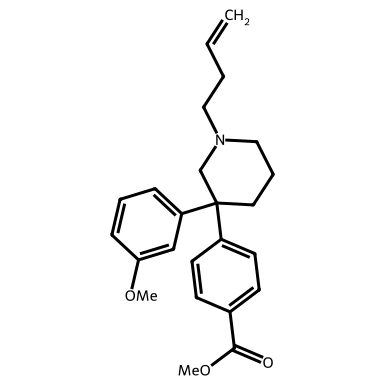 C=CCCN1CCCC(c2ccc(C(=O)OC)cc2)(c2cccc(OC)c2)C1